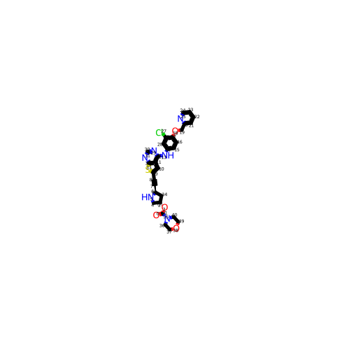 O=C(O[C@@H]1CN[C@@H](C#Cc2cc3c(Nc4ccc(OCc5ccccn5)c(Cl)c4)ncnc3s2)C1)N1CCOCC1